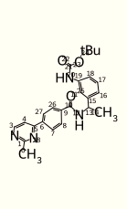 Cc1nccc(-c2ccc(C(=O)NC(C)c3cccc(NC(=O)OC(C)(C)C)c3)cc2)n1